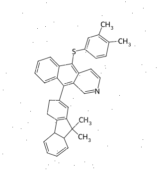 Cc1ccc(Sc2c3ccccc3c(C3=CC4=C(CC3)C3C=CC=CC3C4(C)C)c3cnccc23)cc1C